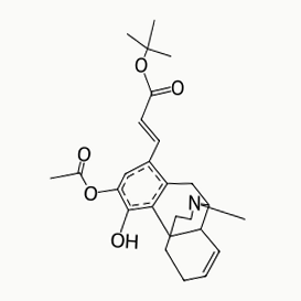 CC(=O)Oc1cc(/C=C/C(=O)OC(C)(C)C)c2c(c1O)C13CCC=CC1C(C2)N(C)CC3